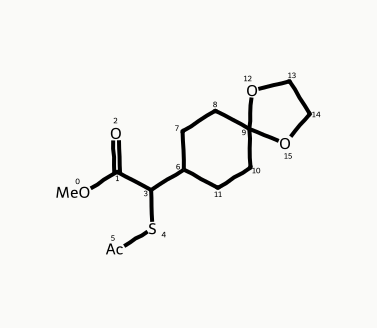 COC(=O)C(SC(C)=O)C1CCC2(CC1)OCCO2